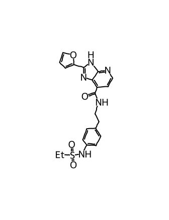 CCS(=O)(=O)Nc1ccc(CCNC(=O)c2ccnc3[nH]c(-c4ccco4)nc23)cc1